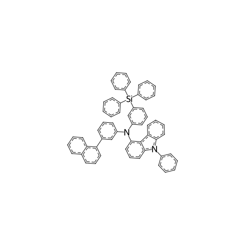 c1ccc(-n2c3ccccc3c3c(N(c4cccc(-c5cccc6ccccc56)c4)c4cccc([Si](c5ccccc5)(c5ccccc5)c5ccccc5)c4)cccc32)cc1